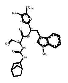 Cc1[nH]c([C@@H](Cc2cn(C)c3ccccc23)NC(=O)[C@H](CC(C)C)NC(=O)NC2CC3CCC2C3)nc1C(=O)O